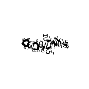 C[C@@H]1CN(c2cnc(OC(F)(F)F)cn2)C[C@@H](C)N1C(=O)OC1CCN(Cc2ccccc2)CC1